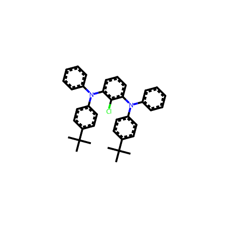 CC(C)(C)c1ccc(N(c2ccccc2)c2cccc(N(c3ccccc3)c3ccc(C(C)(C)C)cc3)c2Cl)cc1